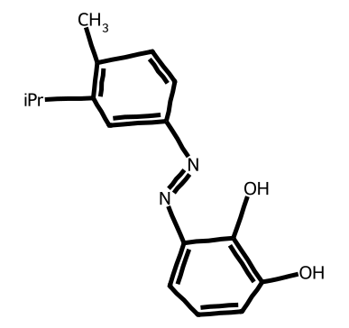 Cc1ccc(N=Nc2cccc(O)c2O)cc1C(C)C